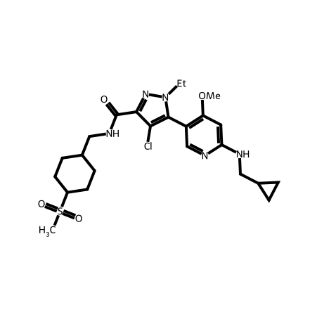 CCn1nc(C(=O)NCC2CCC(S(C)(=O)=O)CC2)c(Cl)c1-c1cnc(NCC2CC2)cc1OC